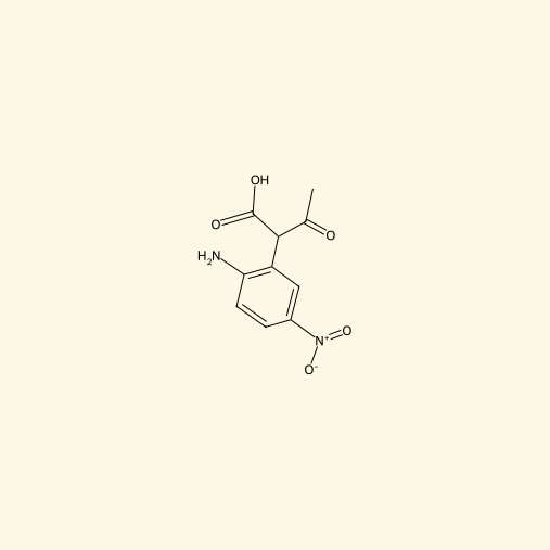 CC(=O)C(C(=O)O)c1cc([N+](=O)[O-])ccc1N